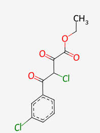 CCOC(=O)C(=O)C(Cl)C(=O)c1cccc(Cl)c1